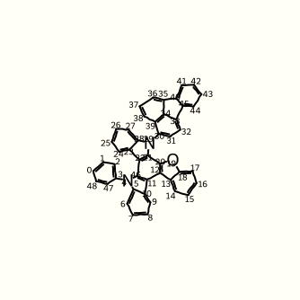 c1ccc(-n2c3ccccc3c3c4c5ccccc5oc4c4c(c5ccccc5n4-c4ccc5c6c(cccc46)-c4ccccc4-5)c32)cc1